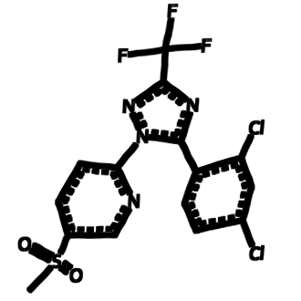 CS(=O)(=O)c1ccc(-n2nc(C(F)(F)F)nc2-c2ccc(Cl)cc2Cl)nc1